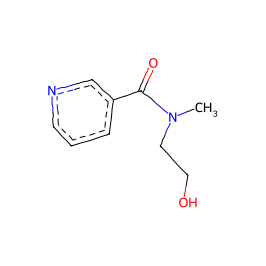 CN(CCO)C(=O)c1cccnc1